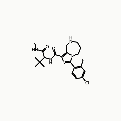 CNC(=O)C(NC(=O)c1nc(-c2ccc(Cl)cc2F)n2c1CNCCC2)C(C)(C)C